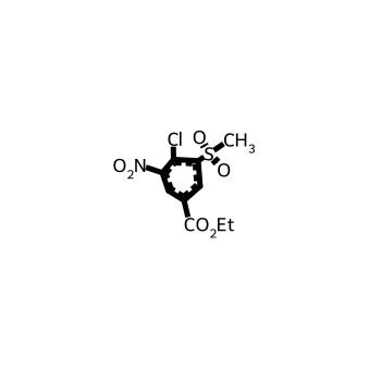 CCOC(=O)c1cc([N+](=O)[O-])c(Cl)c(S(C)(=O)=O)c1